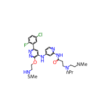 CCCN(CCNC)CCC(=O)Nc1cc(Nc2cc(-c3cc(Cl)ccc3F)nnc2OCCNSC)ccn1